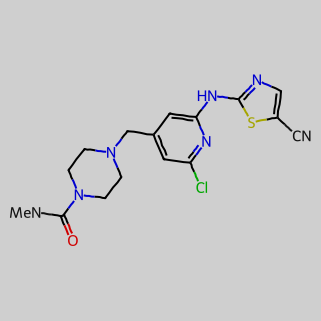 CNC(=O)N1CCN(Cc2cc(Cl)nc(Nc3ncc(C#N)s3)c2)CC1